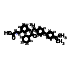 [2H][C@H](c1ccc(-c2ccc(N(C)C)cc2)cc1)N(C(=O)C1CCCCC1)c1cccc(/C=C/C(=O)O)c1